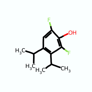 CC(C)c1cc(F)c(O)c(F)c1C(C)C